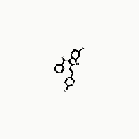 O=C(c1ccccc1)c1c(C=Cc2ccc(Cl)cc2)[nH]c2cc(Br)ccc12